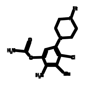 CCN1CCN(c2cc(OC(N)=O)c(N)c(C(C)(C)C)c2Cl)CC1